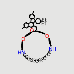 CCC1(CC)CCC2(CC1)c1cc(C)ccc1-c1c2c2c(c3cc(C)ccc13)OC1(C=C2)c2ccc(cc2)Oc2ccc(cc2)NCCCCCCCCCCCCNc2ccc(cc2)Oc2ccc1cc2